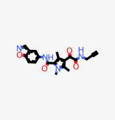 C#CCNC(=O)C(=O)c1c(C)c(C(=O)Nc2ccc3oncc3c2)n(C)c1C